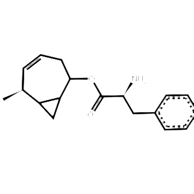 C[C@H]1C=CCC(OC(=O)[C@@H](N)Cc2ccccc2)C2CC21